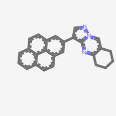 c1cc2ccc3cc(-c4cnn5cc6c(nc45)CCCC6)cc4ccc(c1)c2c34